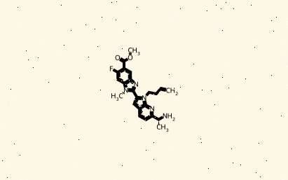 C=CCCn1c(-c2nc3cc(C(=O)OC)c(F)cc3n2C)cc2ccc([C@@H](C)N)nc21